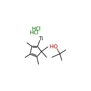 CC(C)(C)O.CC1=C(C)C(C)(C)[C]([Ti])=C1C.Cl.Cl